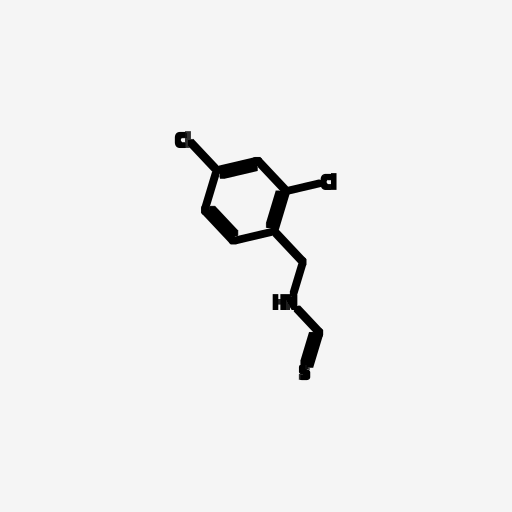 S=CNCc1ccc(Cl)cc1Cl